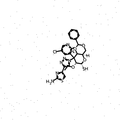 CCO[C@H]1[C@@H](S)O[C@@H]2COC(c3ccccc3)O[C@@H]2C1(c1cc(Cl)cnc1C)n1cc(-c2csc(N)n2)nn1